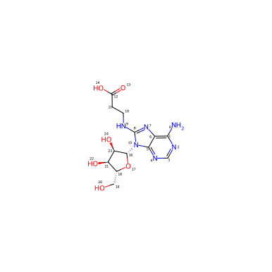 Nc1ncnc2c1nc(NCCC(=O)O)n2[C@@H]1O[C@H](CO)[C@@H](O)[C@H]1O